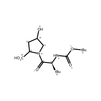 CC(C)(C)OC(=O)N[C@H](C(=O)N1CC(O)CC1C(=O)O)C(C)(C)C